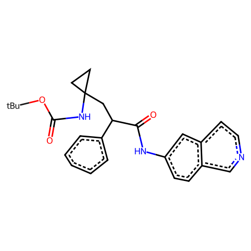 CC(C)(C)OC(=O)NC1(CC(C(=O)Nc2ccc3cnccc3c2)c2ccccc2)CC1